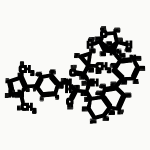 Cc1cnn(C)c1-c1ccc(NC(=O)[C@@H](NC(=O)C2(C)CC2)[C@@H]2CCCc3ccc(-c4ccnc(N5C[C@H]6C[C@@H]5CO6)c4)cc32)cc1